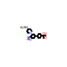 CC(=O)NC1CCN(c2cc(-c3ccc(C4(O)COC4)cc3)cc3nonc23)CC1